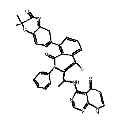 CC(Nc1ncnc2[nH]ccc(=O)c12)c1c(Cl)c2cccc(C3=CC=C4OC(C)(C)C(=O)N=C4C3)c2c(=O)n1-c1ccccc1